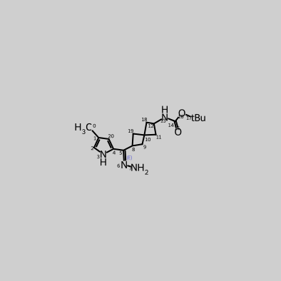 Cc1c[nH]c(/C(=N/N)C2CC3(CC(NC(=O)OC(C)(C)C)C3)C2)c1